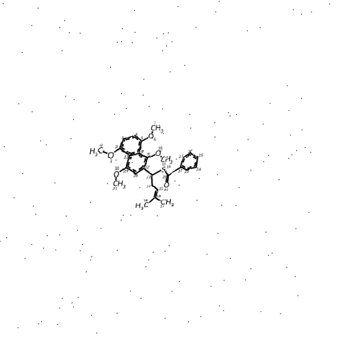 COc1ccc(OC)c2c(OC)c(C(CC=C(C)C)SC(=O)c3ccccc3)cc(OC)c12